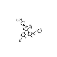 Cc1ccc(-c2c(-c3ccc(C#N)c(F)c3)nc(N3CCC(N)CC3)n3ccnc23)cc1OCc1ccccc1